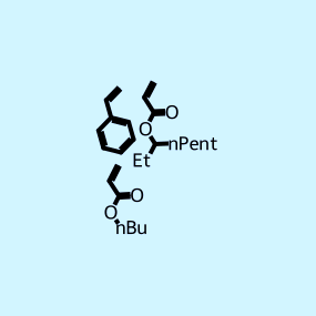 C=CC(=O)OC(CC)CCCCC.C=CC(=O)OCCCC.C=Cc1ccccc1